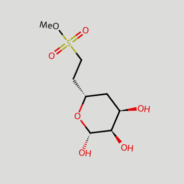 COS(=O)(=O)CC[C@@H]1C[C@@H](O)[C@@H](O)[C@H](O)O1